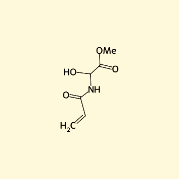 C=CC(=O)NC(O)C(=O)OC